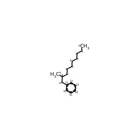 CCCCCCCCC(C)Cc1cc[c]cc1